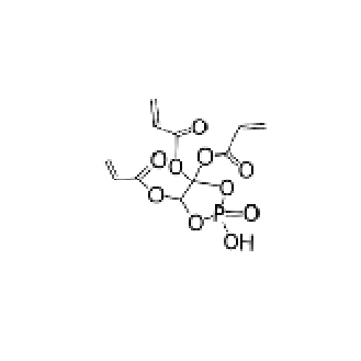 C=CC(=O)OC1OP(=O)(O)OC1(OC(=O)C=C)OC(=O)C=C